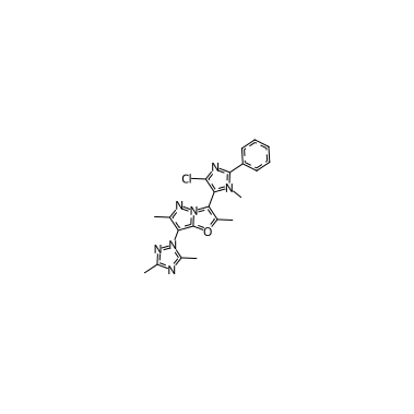 Cc1nc(C)n(-c2c(C)nn3c(-c4c(Cl)nc(-c5ccccc5)n4C)c(C)oc23)n1